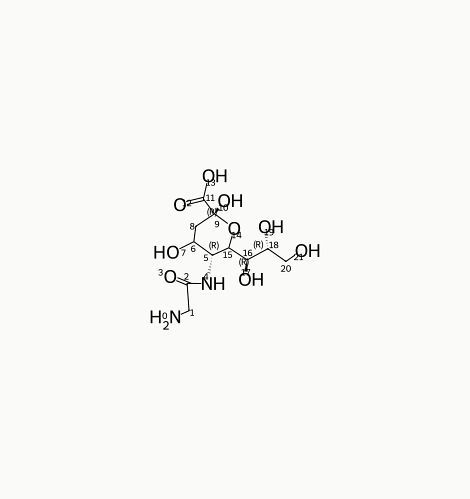 NCC(=O)N[C@@H]1C(O)C[C@](O)(C(=O)O)OC1[C@H](O)[C@H](O)CO